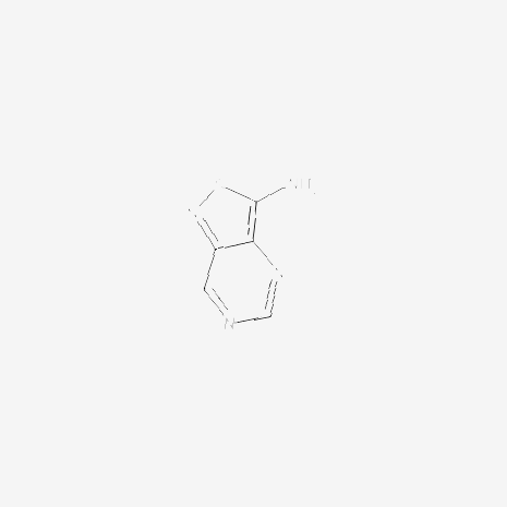 Nc1snc2cncnc12